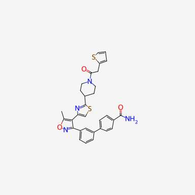 Cc1onc(-c2cccc(-c3ccc(C(N)=O)cc3)c2)c1-c1csc(C2CCN(C(=O)Cc3cccs3)CC2)n1